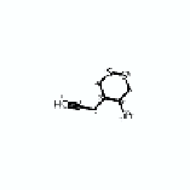 C#CCC1CSSCC1C(C)C